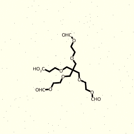 O=COCCOCC(COCCOC=O)(COCCOC=O)COCCC(=O)O